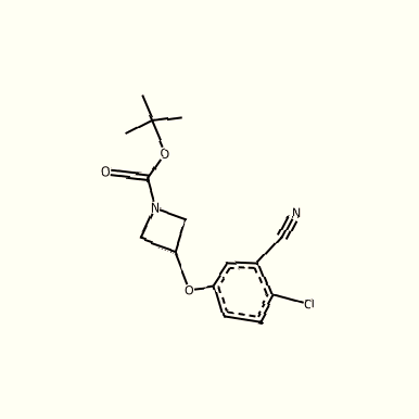 CC(C)(C)OC(=O)N1CC(Oc2ccc(Cl)c(C#N)c2)C1